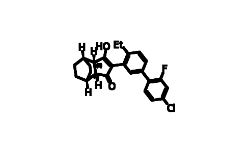 CCc1ccc(-c2ccc(Cl)cc2F)cc1C1=C(O)[C@H]2[C@H]3CC[C@H](CC3)[C@H]2C1=O